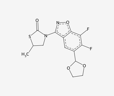 CC1CN(c2noc3c(F)c(F)c(C4OCCO4)cc23)C(=O)S1